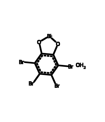 Brc1c(Br)c(Br)c2c(c1Br)[O][Bi][O]2.O